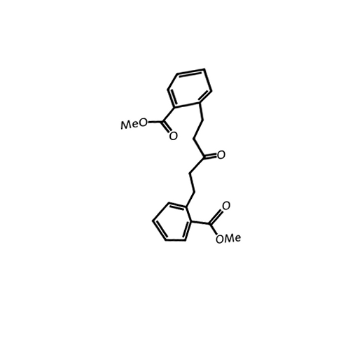 COC(=O)c1ccccc1CCC(=O)CCc1ccccc1C(=O)OC